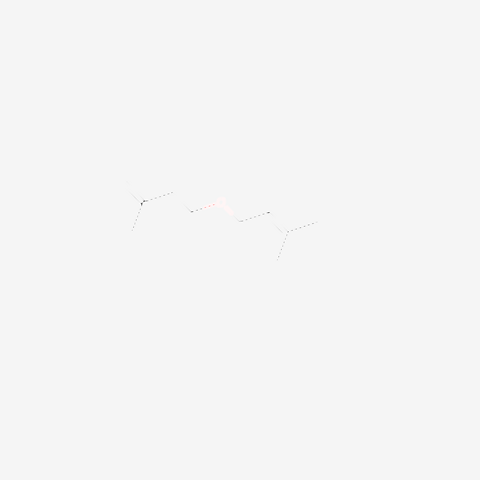 C=C(C)CCOCC=C(C)C